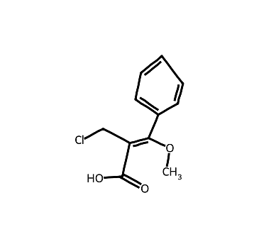 COC(=C(CCl)C(=O)O)c1ccccc1